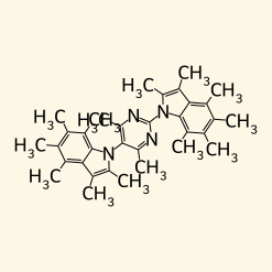 Cc1nc(-n2c(C)c(C)c3c(C)c(C)c(C)c(C)c32)nc(C)c1-n1c(C)c(C)c2c(C)c(C)c(C)c(C)c21